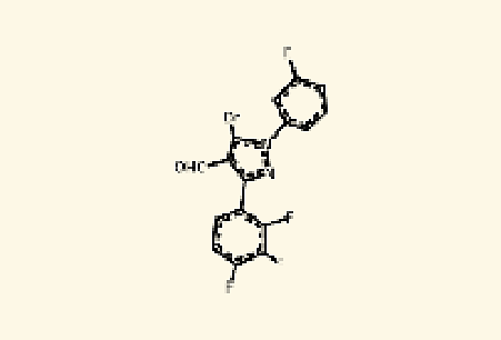 O=Cc1c(-c2ccc(F)c(F)c2F)nn(-c2cccc(F)c2)c1Br